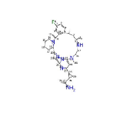 C=C1CCc2ccc(F)cc2C(=C)N2CCCCC2c2cc3nc(C4CC4C(=C)N)cc(n3n2)N(C)CCN1